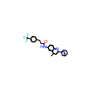 Cc1cc(N2CC3CCC2CC3)nc2ccc(NC(=O)CCc3ccc(C(F)(F)F)cc3)cc12